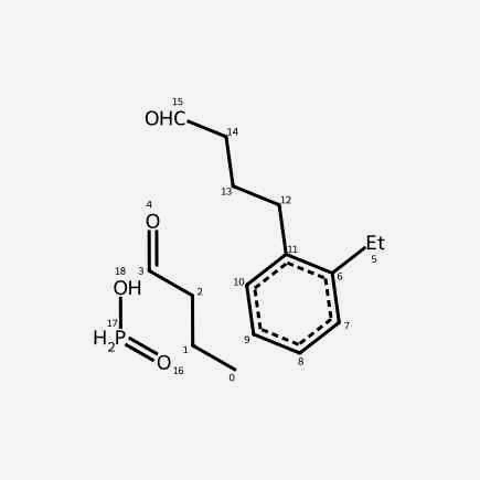 CCCC=O.CCc1ccccc1CCCC=O.O=[PH2]O